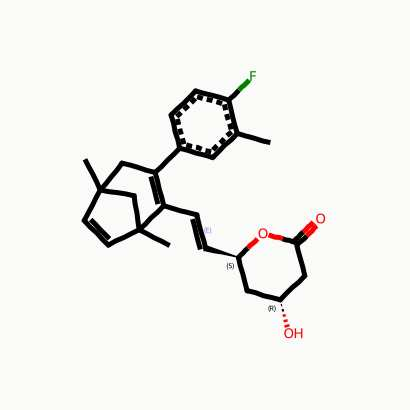 Cc1cc(C2=C(/C=C/[C@@H]3C[C@@H](O)CC(=O)O3)C3(C)C=CC(C)(C2)C3)ccc1F